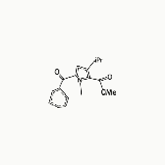 COC(=O)c1c(C(C)C)cc(C(=O)c2ccccc2)n1C